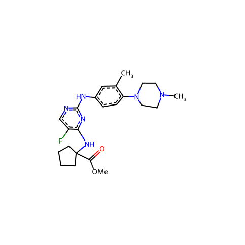 COC(=O)C1(Nc2nc(Nc3ccc(N4CCN(C)CC4)c(C)c3)ncc2F)CCCC1